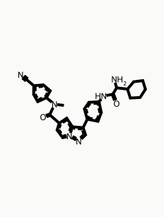 CN(C(=O)c1ccn2ncc(-c3ccc(NC(=O)C(N)C4CCCCC4)cc3)c2c1)c1ccc(C#N)cc1